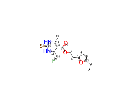 CCc1ccc(CCOC(=O)C2=C(C)NC(=S)NC2CF)o1